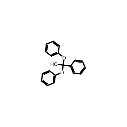 OC(Oc1ccccc1)(Oc1ccccc1)c1ccccc1